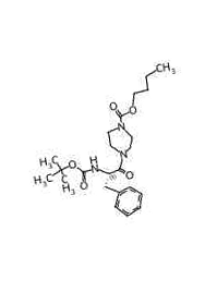 CCCCOC(=O)N1CCN(C(=O)[C@H](Cc2ccccc2)NC(=O)OC(C)(C)C)CC1